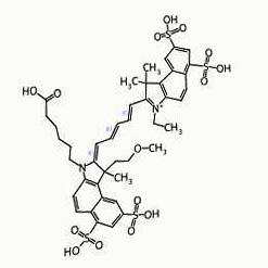 CC[N+]1=C(/C=C/C=C/C=C2/N(CCCCCC(=O)O)c3ccc4c(S(=O)(=O)O)cc(S(=O)(=O)O)cc4c3C2(C)CCOC)C(C)(C)c2c1ccc1c(S(=O)(=O)O)cc(S(=O)(=O)O)cc21